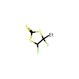 CCC1(F)SC(=S)SC1F